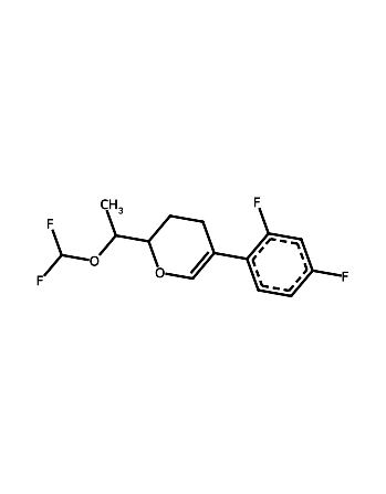 CC(OC(F)F)C1CCC(c2ccc(F)cc2F)=CO1